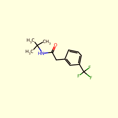 CC(C)(C)NC(=O)Cc1cccc(C(F)(F)F)c1